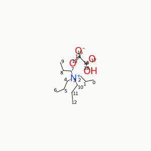 CCC[N+](CCC)(CCC)CCC.O=C([O-])C(=O)O